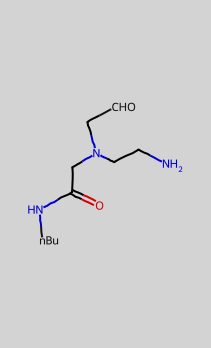 CCCCNC(=O)CN(CC=O)CCN